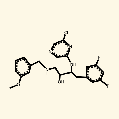 COc1cccc(CNCC(O)C(Cc2cc(F)cc(F)c2)Nc2cncc(Cl)n2)c1